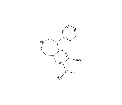 COc1cc2c(cc1[S+](C)[O-])CCNCC2c1ccccc1